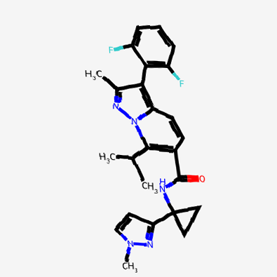 Cc1nn2c(C(C)C)c(C(=O)NC3(c4ccn(C)n4)CC3)ccc2c1-c1c(F)cccc1F